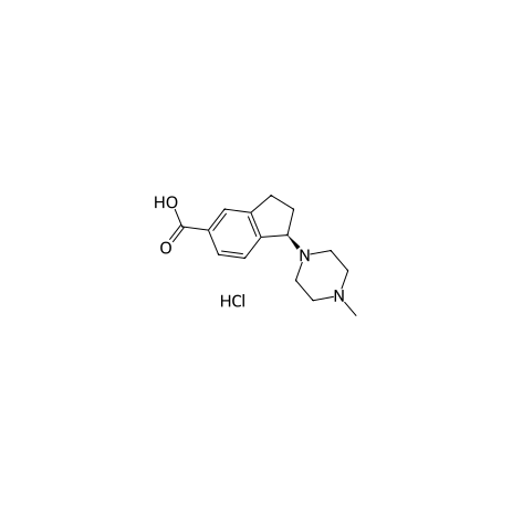 CN1CCN([C@@H]2CCc3cc(C(=O)O)ccc32)CC1.Cl